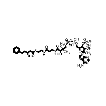 CC(C)(COP(=O)(O)OP(=O)(O)OCC1OC(C)(n2cnc3c(N)ncnc32)C(O)C1OP(=O)(O)O)C(O)C(=O)NCCC(=O)NCCSC(=O)CC(O)CCc1ccccc1